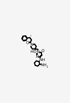 C[C@H](CC(=O)N1CCC(O)(Cn2cnc(NC3CCCCC3N)cc2=O)CC1)c1ccccc1